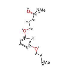 CNCCOc1cccc(OCCCC(=O)NC)c1